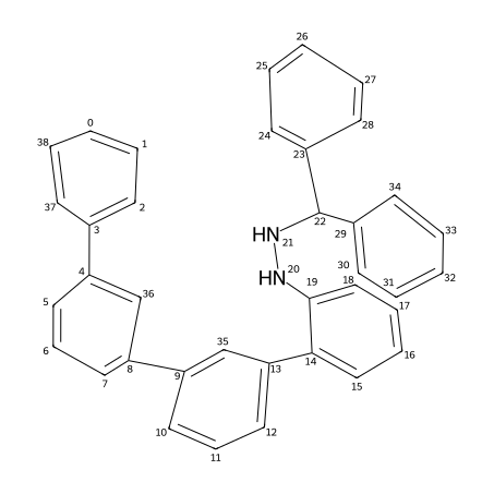 c1ccc(-c2cccc(-c3cccc(-c4ccccc4NNC(c4ccccc4)c4ccccc4)c3)c2)cc1